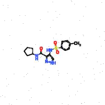 Cc1ccc(S(=O)(=O)Nc2c[nH]nc2C(=O)NC2CCCC2)cc1